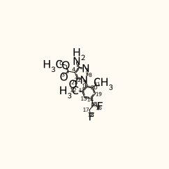 COC(=O)c1c(N)ncn(-c2c(C)cc([C@H](F)CF)cc2C)c1=O